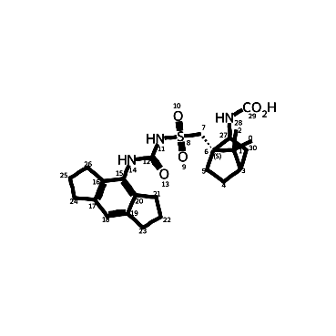 CC1(C)C2CC[C@@]1(CS(=O)(=O)NC(=O)Nc1c3c(cc4c1CCC4)CCC3)C(NC(=O)O)C2